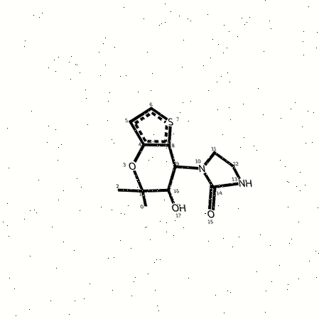 CC1(C)Oc2ccsc2C(N2CCNC2=O)C1O